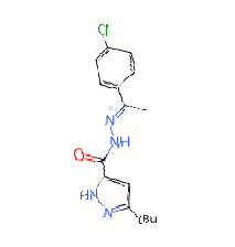 C/C(=N\NC(=O)c1cc(C(C)(C)C)n[nH]1)c1ccc(Cl)cc1